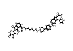 CN(C)C(=O)c1cc2cnc(Nc3ccc(N4CCN(CCCCCCCCNc5cccc6c5C(=O)N(C5CCC(=O)NC5=O)C6=O)CC4)cn3)nc2n1C1CCCC1